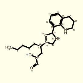 CCCCC[C@H](CN(O)C=O)N1CNC(c2cccc3c2NCCC3)O1